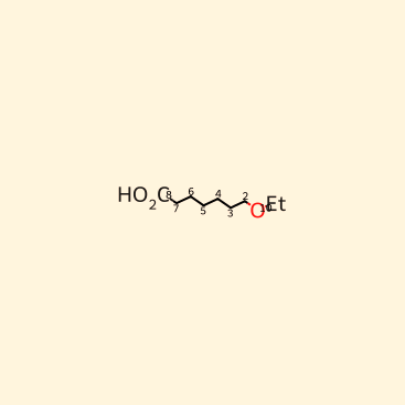 CCOCCCCCCC(=O)O